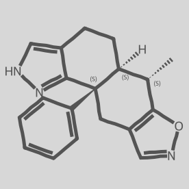 C[C@@H]1c2oncc2C[C@]2(c3ccccc3)c3n[nH]cc3CC[C@@H]12